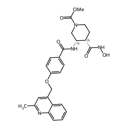 COC(=O)N1CC[C@H](C(=O)NO)[C@H](NC(=O)c2ccc(OCc3cc(C)nc4ccccc34)cc2)C1